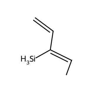 C=CC([SiH3])=CC